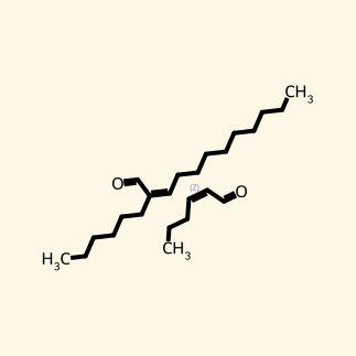 CCC/C=C\C=O.CCCCCCCCCC=C(C=O)CCCCCC